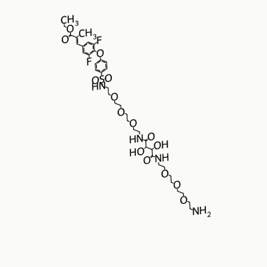 CCOC(=O)/C(C)=C/c1cc(F)c(Oc2ccc(S(=O)(=O)NCCOCCOCCOCCNC(=O)C(O)[C@@H](O)C(=O)NCCOCCOCCOCCN)cc2)c(F)c1